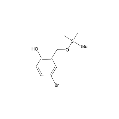 CC(C)(C)[Si](C)(C)OCc1cc(Br)ccc1O